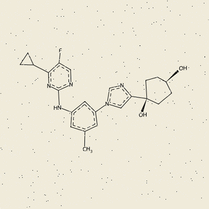 Cc1cc(Nc2ncc(F)c(C3CC3)n2)cc(-n2cnc([C@]3(O)CC[C@@H](O)CC3)c2)c1